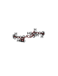 CCC(CC(CC(CC(C)c1ccc2c(c1)CCc1ccc(C(C)CC(CC(CC(CC)C(=O)NCCOCCOCCNC(=O)C(F)(F)F)C(=O)O)C(=O)O)cc1CC2)C(=O)NCCOCCOCCNC(=O)C(F)(F)F)C(=O)O)C(=O)O